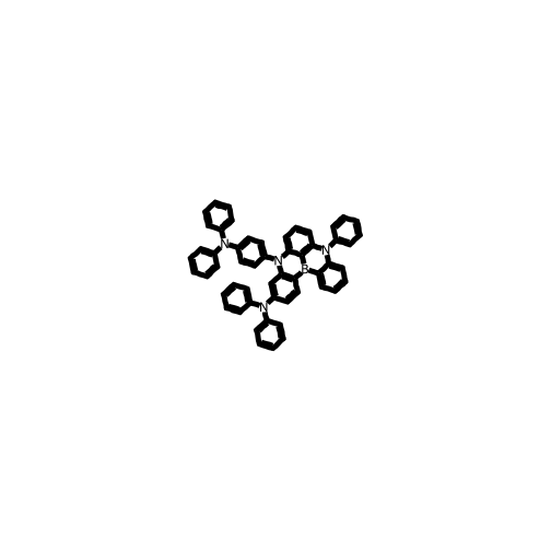 c1ccc(N(c2ccccc2)c2ccc(N3c4cc(N(c5ccccc5)c5ccccc5)ccc4B4c5ccccc5N(c5ccccc5)c5cccc3c54)cc2)cc1